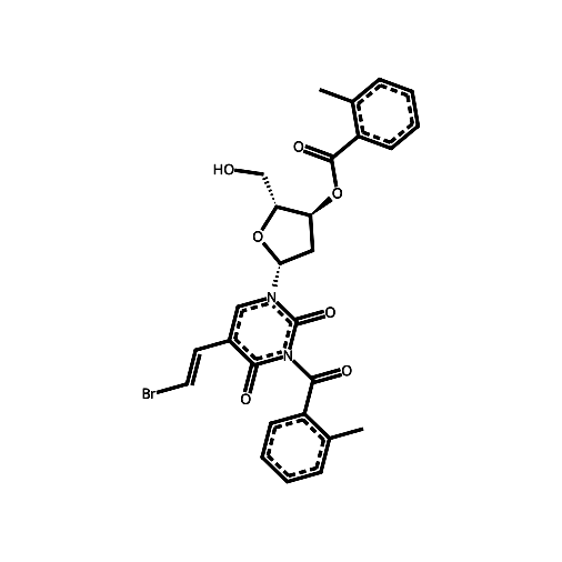 Cc1ccccc1C(=O)O[C@H]1C[C@H](n2cc(/C=C/Br)c(=O)n(C(=O)c3ccccc3C)c2=O)O[C@@H]1CO